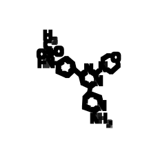 CS(=O)(=O)Nc1ccc(-c2cc(-c3ccc(N)nc3)nc(N3CCOCC3)n2)cc1